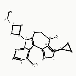 Nc1ncnc2c1c1c(n2[C@H]2C[C@@H](CO)C2)CCC(O)c2c-1noc2C1CC1